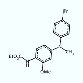 CCOC(=O)Nc1ccc(N(C)c2ccc(C(C)C)cc2)cc1OC